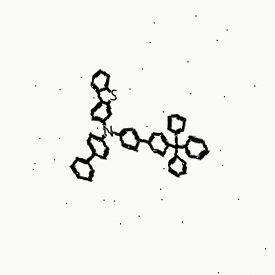 c1ccc(-c2ccc(N(c3ccc(-c4ccc(C(c5ccccc5)(c5ccccc5)c5ccccc5)cc4)cc3)c3ccc4c(c3)sc3ccccc34)cc2)cc1